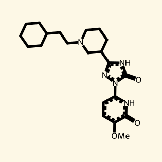 COc1ccc(-n2nc(C3CCCN(CCC4CCCCC4)C3)[nH]c2=O)[nH]c1=O